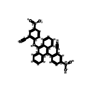 N#Cc1cc([N+](=O)[O-])ccc1Oc1c2ccccc2c(-c2ccc([N+](=O)[O-])cc2C#N)c2ccccc12